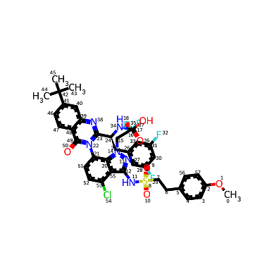 COc1ccc(CCS(=O)(=O)Nc2nn(CC(F)(F)F)c3c(-n4c([C@H](Cc5cc(F)cc(F)c5)NC(=O)O)nc5cc(C(C)(C)C)ccc5c4=O)ccc(Cl)c23)cc1